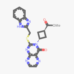 COC(=O)[C@H]1C[C@H](n2c(SCc3nc4ccccc4[nH]3)nc3nccnc3c2=O)C1